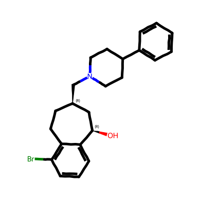 O[C@@H]1C[C@H](CN2CCC(c3ccccc3)CC2)CCc2c(Br)cccc21